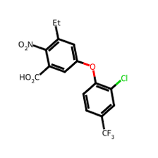 CCc1cc(Oc2ccc(C(F)(F)F)cc2Cl)cc(C(=O)O)c1[N+](=O)[O-]